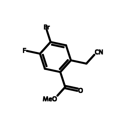 COC(=O)c1cc(F)c(Br)cc1CC#N